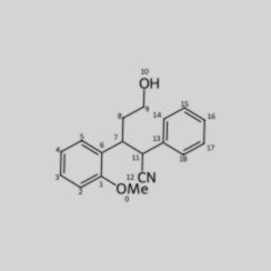 COc1ccccc1C(CCO)C(C#N)c1ccccc1